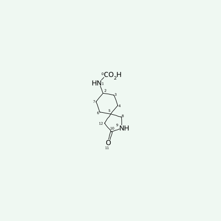 O=C(O)NC1CCC2(CC1)CNC(=O)C2